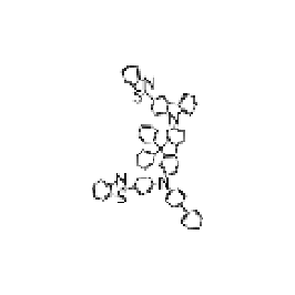 c1ccc(-c2ccc(N(c3ccc(-c4nc5ccccc5s4)cc3)c3ccc4c(c3)C(c3ccccc3)(c3ccccc3)c3cc(-n5c6ccccc6c6cc(-c7nc8ccccc8s7)ccc65)ccc3-4)cc2)cc1